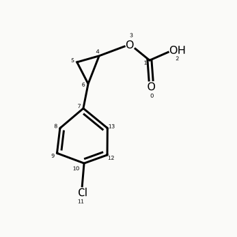 O=C(O)OC1CC1c1ccc(Cl)cc1